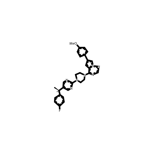 COc1ccc(-c2cc3c(N4CCN(c5ncc([C@H](C)c6ccc(F)cc6)cn5)CC4)ncnn3c2)cc1